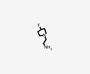 NCCN1CCC(F)CC1